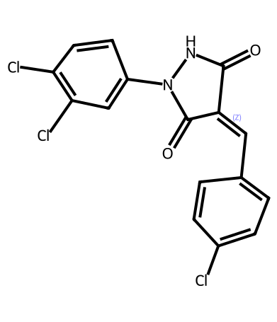 O=C1NN(c2ccc(Cl)c(Cl)c2)C(=O)/C1=C\c1ccc(Cl)cc1